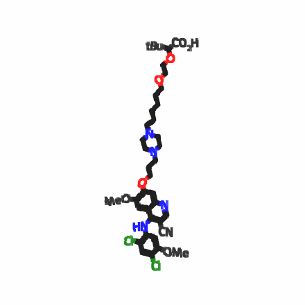 COc1cc(Nc2c(C#N)cnc3cc(OCCCN4CCN(CCCCCCOCCOC(C(=O)O)C(C)(C)C)CC4)c(OC)cc23)c(Cl)cc1Cl